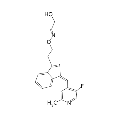 Cc1cc(/C=C2/C=C(CCON=CCO)c3ccccc32)c(F)cn1